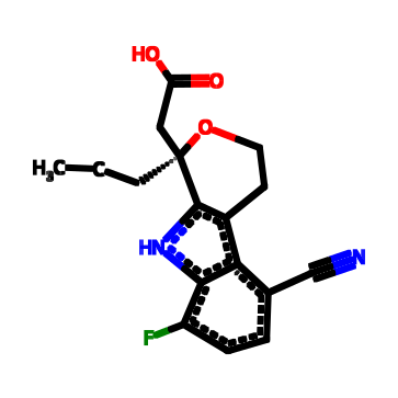 CCC[C@]1(CC(=O)O)OCCc2c1[nH]c1c(F)ccc(C#N)c21